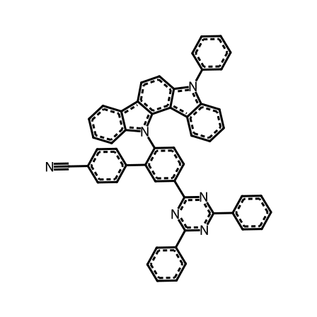 N#Cc1ccc(-c2cc(-c3nc(-c4ccccc4)nc(-c4ccccc4)n3)ccc2-n2c3ccccc3c3ccc4c(c5ccccc5n4-c4ccccc4)c32)cc1